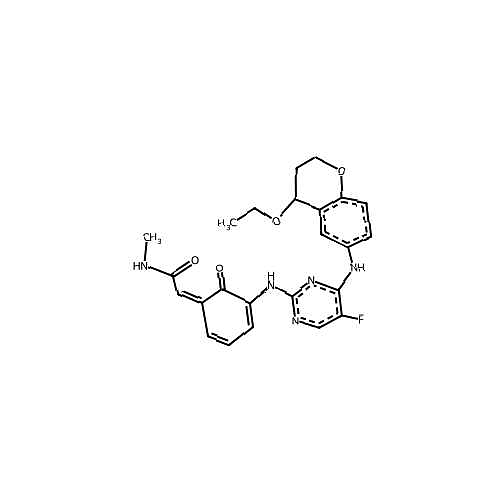 CCOC1CCOc2ccc(Nc3nc(NC4=CC=CC(=CC(=O)NC)C4=O)ncc3F)cc21